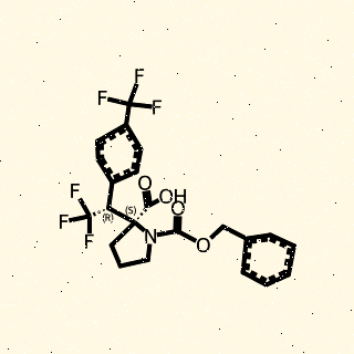 O=C(OCc1ccccc1)N1CCC[C@@]1(C(=O)O)[C@@H](c1ccc(C(F)(F)F)cc1)C(F)(F)F